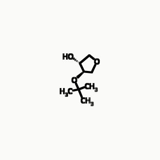 CC(C)(C)O[C@@H]1COC[C@H]1O